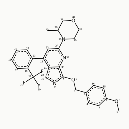 COc1ccc(COc2nsc3c(-c4ccccc4C(F)(F)F)cc(N4CCOCC4C)nc23)cc1